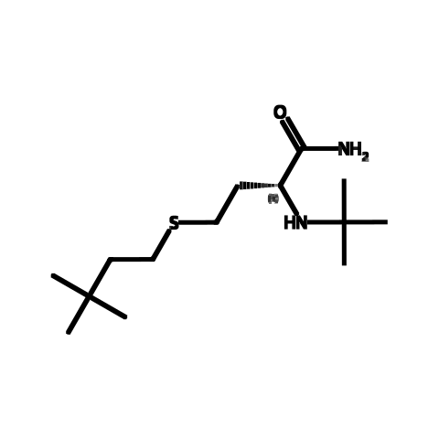 CC(C)(C)CCSCC[C@@H](NC(C)(C)C)C(N)=O